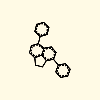 c1ccc(-c2ccc3c(-c4ccccc4)ccc4c3c2CC4)cc1